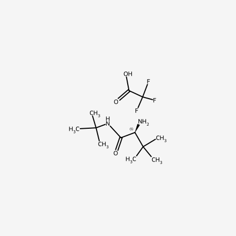 CC(C)(C)NC(=O)[C@@H](N)C(C)(C)C.O=C(O)C(F)(F)F